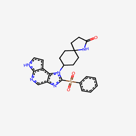 O=C1CCC2(CCC(n3c(S(=O)(=O)c4ccccc4)nc4cnc5[nH]ccc5c43)CC2)N1